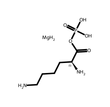 NCCCC[C@H](N)C(=O)OP(=O)(O)O.[MgH2]